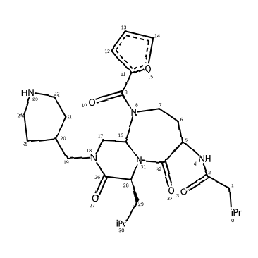 CC(C)CC(=O)NC1CCN(C(=O)c2ccco2)C2CN(CC3CCNCC3)C(=O)[C@H](CC(C)C)N2C1=O